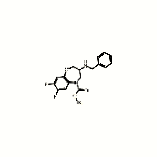 CC(C)(C)OC(=O)N1CC(NCc2ccccc2)COc2cc(F)c(F)cc21